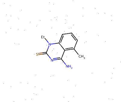 CCn1c(=S)nc(N)c2c(C)cccc21